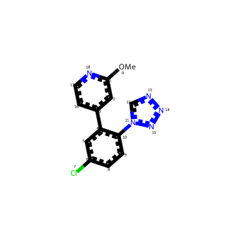 COc1cc(-c2cc(Cl)ccc2-n2cnnn2)ccn1